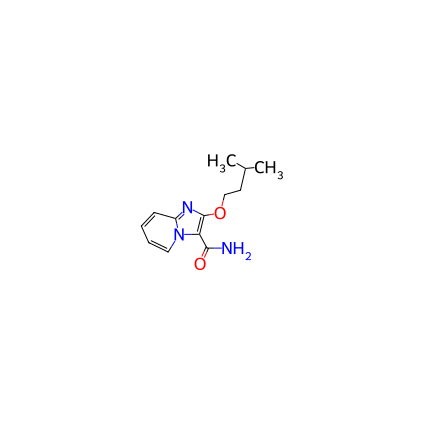 CC(C)CCOc1nc2ccccn2c1C(N)=O